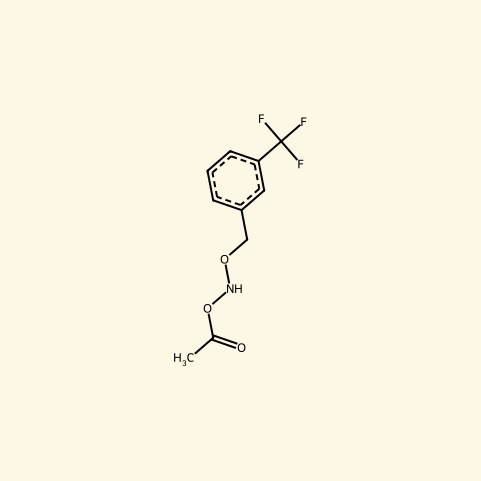 CC(=O)ONOCc1cccc(C(F)(F)F)c1